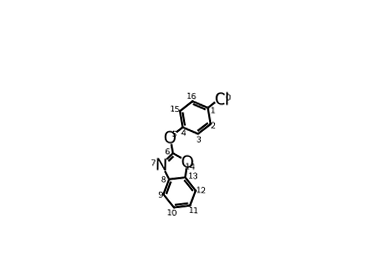 Clc1ccc(Oc2nc3ccccc3o2)cc1